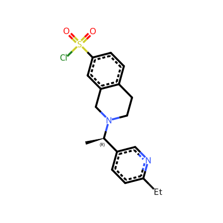 CCc1ccc([C@@H](C)N2CCc3ccc(S(=O)(=O)Cl)cc3C2)cn1